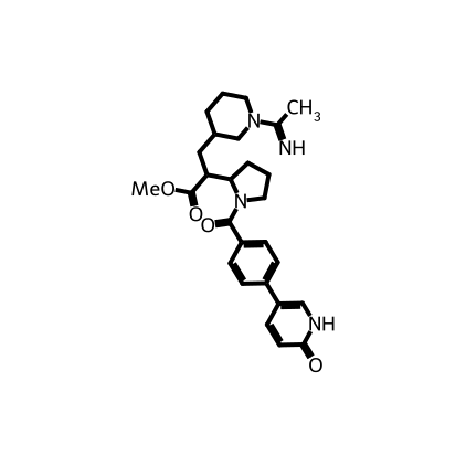 COC(=O)C(CC1CCCN(C(C)=N)C1)C1CCCN1C(=O)c1ccc(-c2ccc(=O)[nH]c2)cc1